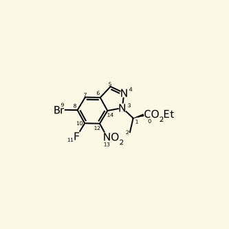 CCOC(=O)[C@@H](C)n1ncc2cc(Br)c(F)c([N+](=O)[O-])c21